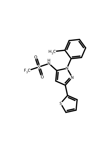 Cc1ccccc1-n1nc(-c2cccs2)cc1NS(=O)(=O)C(F)(F)F